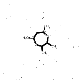 CC1O[C@H](C)C[C@H](C)OC1C